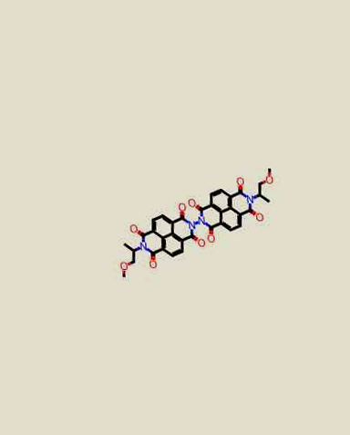 COCC(C)N1C(=O)c2ccc3c4c(ccc(c24)C1=O)C(=O)N(N1C(=O)c2ccc4c5c(ccc(c25)C1=O)C(=O)N(C(C)COC)C4=O)C3=O